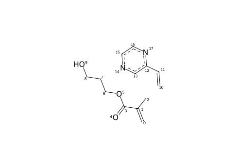 C=C(C)C(=O)OCCCO.C=Cc1cnccn1